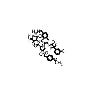 COc1ccc(CS(=O)(=O)[C@@H]2C[C@@H](C(=O)NC(C(=O)C(F)(F)F)C(C)C)N(C(=O)[C@H](Cc3ccc(CN)cc3)NC(=O)C(F)(F)c3cccc(Cl)c3)C2)cc1